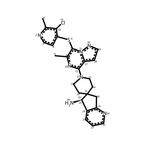 Cc1nccc(Sc2c(C)nc(N3CCC4(CC3)Cc3ncccc3[C@H]4N)c3ccnn23)c1Cl